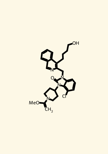 C=C(OC)N1CCC(n2c(=O)n(Cc3ncc4ccccc4c3CCCCO)c3cccc(Cl)c32)CC1